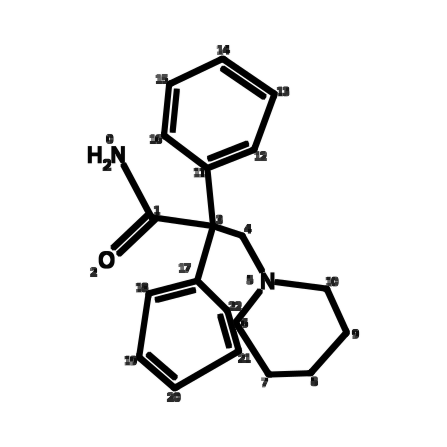 NC(=O)C(CN1CCCCC1)(c1ccccc1)c1ccccc1